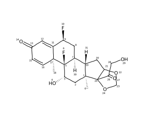 C[C@]12C[C@H](O)[C@@]3(F)[C@@H](C[C@H](F)C4=CC(=O)C=C[C@@]43C)[C@@H]1CC1OCOC12C(=O)CO